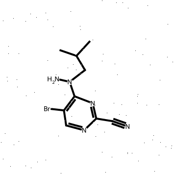 CC(C)CN(N)c1nc(C#N)ncc1Br